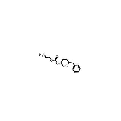 C=CCOC(=O)OC1CCC(Sc2ccccc2)OC1